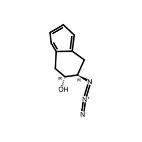 [N-]=[N+]=N[C@@H]1Cc2ccccc2C[C@H]1O